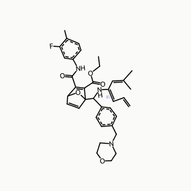 C=C/C=C(\C=C(C)C)NC(c1ccc(CN2CCOCC2)cc1)C12C=CC(O1)C(C(=O)Nc1ccc(C)c(F)c1)=C2C(=O)OCC